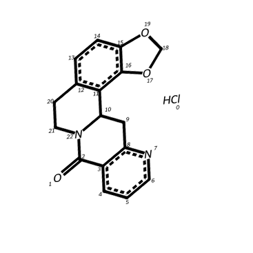 Cl.O=C1c2cccnc2CC2c3c(ccc4c3OCO4)CCN12